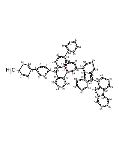 CC1C=CC(c2ccc(N(c3ccc(-c4ccccc4)cc3)c3ccccc3-c3cccc(-c4cccc5c4c4ccccc4n5-c4cccc5c4sc4ccccc45)c3)cc2)=CC1